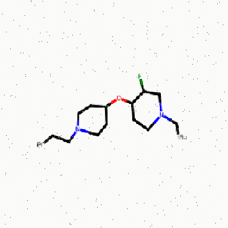 CC(C)CCN1CCC(OC2CCN(CC(C)(C)C)CC2F)CC1